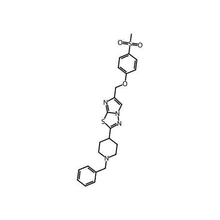 CS(=O)(=O)c1ccc(OCc2cn3nc(C4CCN(Cc5ccccc5)CC4)sc3n2)cc1